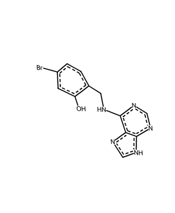 Oc1cc(Br)ccc1CNc1ncnc2[nH]cnc12